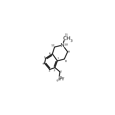 CC(C)Cc1cccc2c1CCN(C)C2